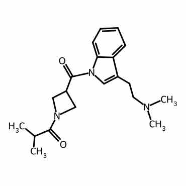 CC(C)C(=O)N1CC(C(=O)n2cc(CCN(C)C)c3ccccc32)C1